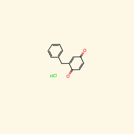 Cl.O=C1C=CC(=O)C(Cc2ccccc2)=C1